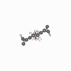 CC(C)(C)c1c2ccc(-c3ccc(-c4ccc5c(c4)c4cc(C#N)ccc4n5-c4ccccc4)cc3)cc2c(C(C)(C)C)c2ccc(-c3ccc(-c4ccc5c(c4)c4cc(C#N)ccc4n5-c4ccccc4)cc3)cc12